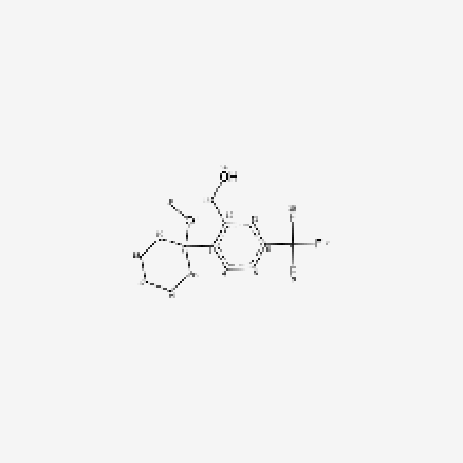 COC1(c2ccc(C(F)(F)F)cc2CO)CCCCC1